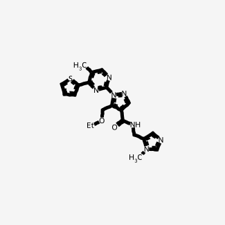 CCOCc1c(C(=O)NCc2cncn2C)cnn1-c1ncc(C)c(-c2cccs2)n1